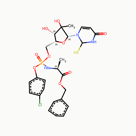 C[C@H](NP(=O)(OC[C@H]1O[C@@H](N2C=CC(=O)NC2S)C(C)(O)[C@H]1O)Oc1ccc(Cl)cc1)C(=O)OCc1ccccc1